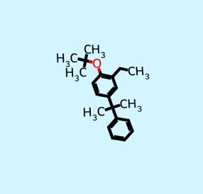 CCc1cc(C(C)(C)c2ccccc2)ccc1OC(C)(C)C